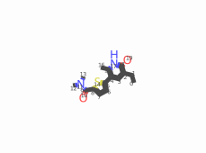 CCc1cc(-c2ccc(C(=O)N(C)C)s2)c(C)[nH]c1=O